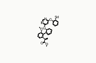 C=C(C(=O)OC)c1cccc(OC)c1-c1ccccc1Oc1cc(Oc2ccccc2S)ncn1